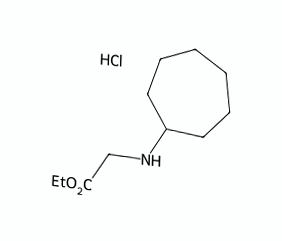 CCOC(=O)CNC1CCCCCC1.Cl